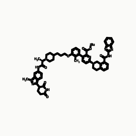 Cc1c(OCCCC2CCN([C@H](C)C(=O)Nc3ccc4c(C5CCC(=O)NC5=O)nn(C)c4c3)CC2)cccc1-c1ccc(N2CCc3cccc(C(=O)Nc4nc5ccccc5s4)c3C2)nc1C(=O)OC(C)(C)C